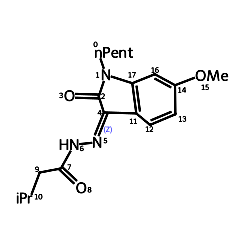 CCCCCN1C(=O)/C(=N\NC(=O)CC(C)C)c2ccc(OC)cc21